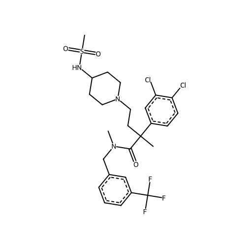 CN(Cc1cccc(C(F)(F)F)c1)C(=O)C(C)(CCN1CCC(NS(C)(=O)=O)CC1)c1ccc(Cl)c(Cl)c1